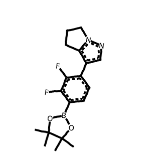 CC1(C)OB(c2ccc(-c3cnn4c3CCC4)c(F)c2F)OC1(C)C